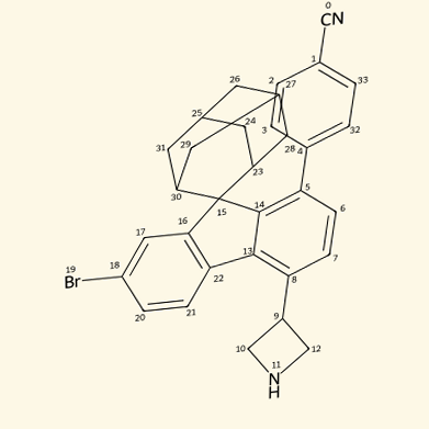 N#Cc1ccc(-c2ccc(C3CNC3)c3c2C2(c4cc(Br)ccc4-3)C3CC4CC(C3)CC2C4)cc1